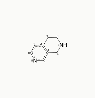 c1cc2c(cn1)CNCC2